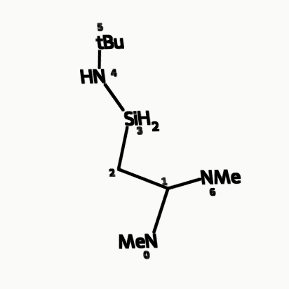 CNC(C[SiH2]NC(C)(C)C)NC